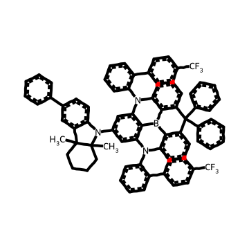 CC12CCCCC1(C)N(c1cc3c4c(c1)N(c1ccccc1-c1ccc(C(F)(F)F)cc1)c1cccc5c1B4c1c(cccc1C5(c1ccccc1)c1ccccc1)N3c1ccccc1-c1ccc(C(F)(F)F)cc1)c1ccc(-c3ccccc3)cc12